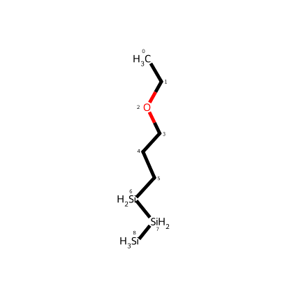 CCOCCC[SiH2][SiH2][SiH3]